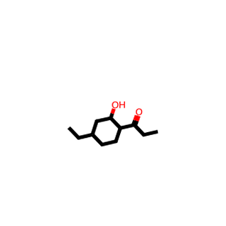 CCC(=O)C1CCC(CC)CC1O